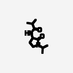 CC(C)C(=O)NC1CCN(C(C)C)C1=O